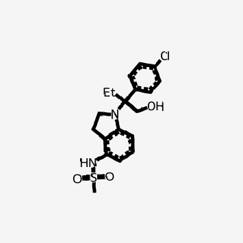 CCC(CO)(c1ccc(Cl)cc1)N1CCc2c(NS(C)(=O)=O)cccc21